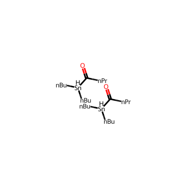 CCC[CH2][SnH]([CH2]CCC)[C](=O)CCC.CCC[CH2][SnH]([CH2]CCC)[C](=O)CCC